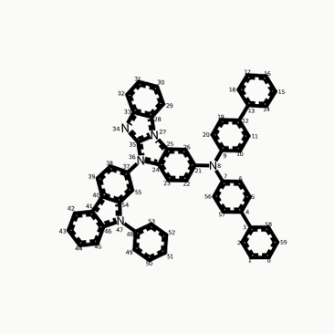 c1ccc(-c2ccc(N(c3ccc(-c4ccccc4)cc3)c3ccc4c(c3)n3c5ccccc5nc3n4-c3ccc4c5ccccc5n(-c5ccccc5)c4c3)cc2)cc1